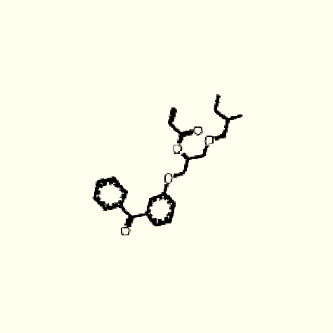 C=CC(=O)OC(COCC(C)CC)COc1cccc(C(=O)c2ccccc2)c1